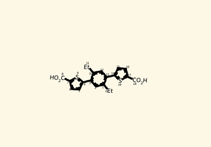 CCc1cc(-c2ccc(C(=O)O)s2)c(CC)cc1-c1ccc(C(=O)O)s1